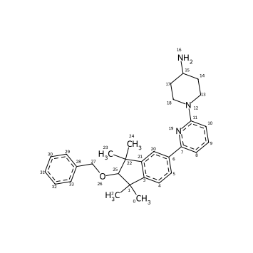 CC1(C)c2ccc(-c3cccc(N4CCC(N)CC4)n3)cc2C(C)(C)C1OCc1ccccc1